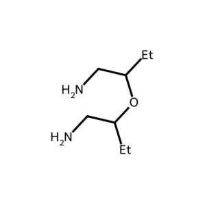 CCC(CN)OC(CC)CN